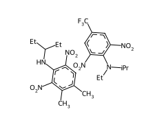 CCC(CC)Nc1c([N+](=O)[O-])cc(C)c(C)c1[N+](=O)[O-].CCN(c1c([N+](=O)[O-])cc(C(F)(F)F)cc1[N+](=O)[O-])C(C)C